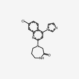 O=C1CN(c2cc(-n3ccnc3)c3ccc(Cl)cc3n2)CCCN1